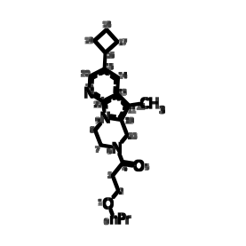 CCCOCCC(=O)N1CCn2c(c(C)c3cc(C4CCC4)cnc32)C1